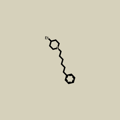 CCC1CCN(CCCCCCc2ccccc2)CC1